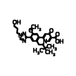 COc1cc2c(cc1-c1ncn(CCCO)n1)CC(C(C)(C)C)n1cc(C(=O)O)c(=O)cc1-2